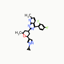 Cc1ccc2c(-c3ccc(F)cc3F)nc(C3CC(C)OC(c4cnn(C5CC5)c4)C3)nc2n1